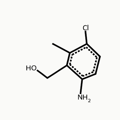 Cc1c(Cl)ccc(N)c1CO